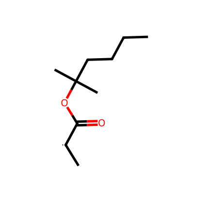 C[CH]C(=O)OC(C)(C)CCCC